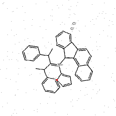 CC([C](C(C)c1ccccc1)=[Zr+2]([C]1=CC=CC1)[CH]1c2ccccc2-c2ccc3ccccc3c21)c1ccccc1.[Cl-].[Cl-]